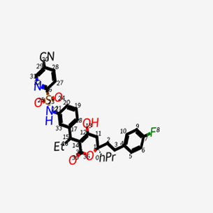 CCC[C@@]1(CCc2ccc(F)cc2)CC(O)=C(C(CC)c2cccc(NS(=O)(=O)c3ccc(C#N)cn3)c2)C(=O)O1